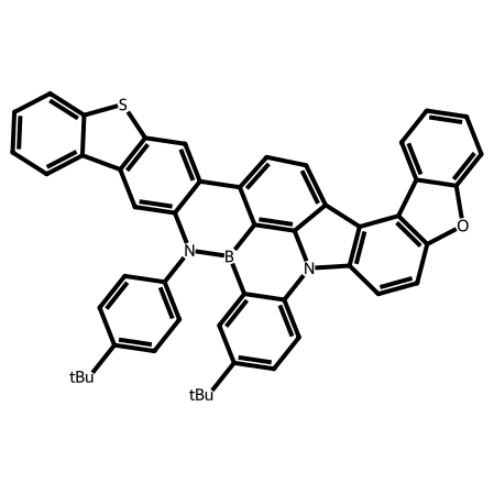 CC(C)(C)c1ccc(N2B3c4cc(C(C)(C)C)ccc4-n4c5ccc6oc7ccccc7c6c5c5ccc(c3c54)-c3cc4sc5ccccc5c4cc32)cc1